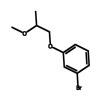 COC(C)COc1cccc(Br)c1